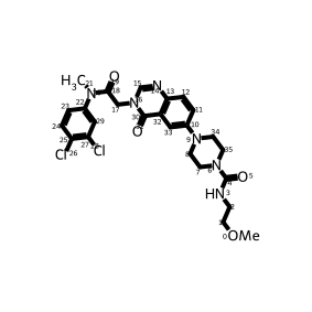 COCCNC(=O)N1CCN(c2ccc3ncn(CC(=O)N(C)c4ccc(Cl)c(Cl)c4)c(=O)c3c2)CC1